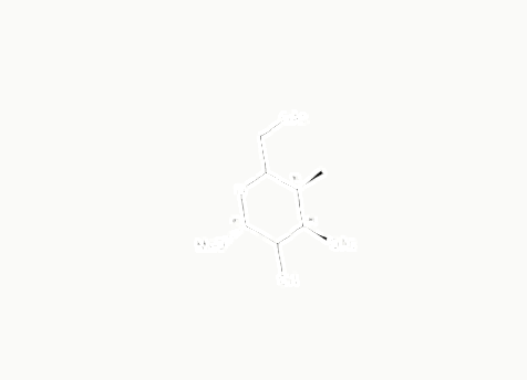 CO[C@@H]1OC(COC(C)=O)[C@@H](C)[C@@H](OC(C)=O)C1O